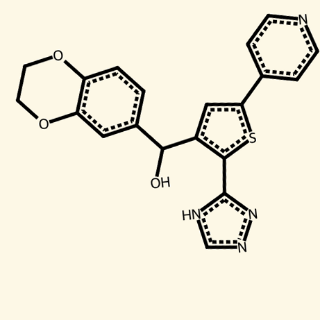 OC(c1ccc2c(c1)OCCO2)c1cc(-c2ccncc2)sc1-c1nnc[nH]1